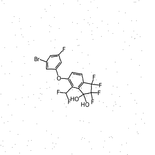 OC1(O)c2c(ccc(Oc3cc(F)cc(Br)c3)c2C(F)F)C(F)(F)C1(F)F